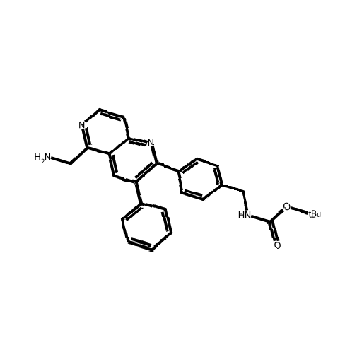 CC(C)(C)OC(=O)NCc1ccc(-c2nc3ccnc(CN)c3cc2-c2ccccc2)cc1